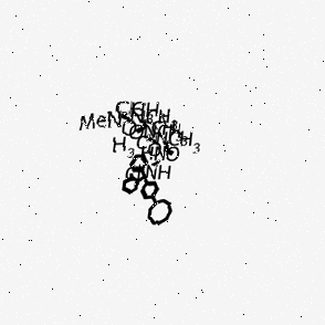 CN[C@H](C)C(=O)N(C)C(C)C(=O)N(C)[C@H](C)C(=O)N(C)C(C)C(=O)NCCNC(c1ccccc1)(c1ccc(C2CCCCCCCC2)cc1)c1ccccc1Cl